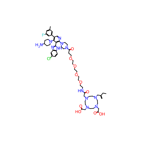 C=C(CC)CN1CCN(CC(=O)O)CCN(CC(=O)O)CCN(CC(=O)NCCOCCOCCOCCOCCC(=O)N2CCN(c3ncc(-c4cc(C)cc(F)c4)c(N4CCC(N)CC4)c3-c3nc4cc(Cl)ccc4[nH]3)CC2)CC1